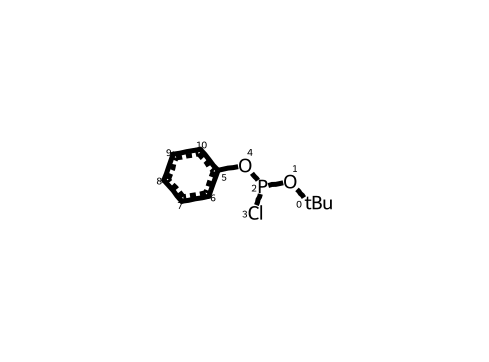 CC(C)(C)OP(Cl)Oc1ccccc1